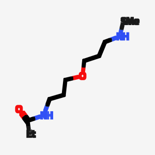 CCC(=O)NCCCOCCCNSC